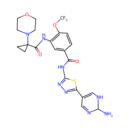 NC1N=CC(c2nnc(NC(=O)c3ccc(OC(F)(F)F)c(NC(=O)C4(N5CCOCC5)CC4)c3)s2)=CN1